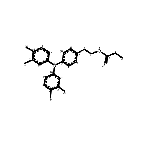 CCC(=O)OCCc1ccc(N(c2ccc(C)c(C)c2)c2ccc(C)c(C)c2)cc1